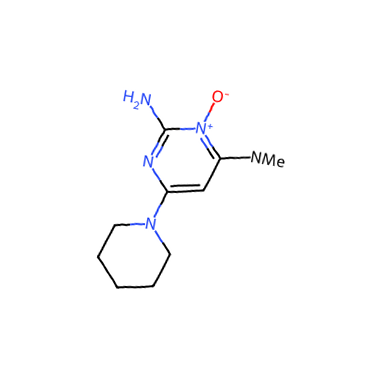 CNc1cc(N2CCCCC2)nc(N)[n+]1[O-]